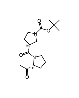 CC(=O)[C@H]1CCCN1C(=O)[C@@H]1CCN(C(=O)OC(C)(C)C)C1